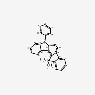 CC1(C)c2ccccc2-c2ccc3c(c21)c1ccccc1n3-c1ccccn1